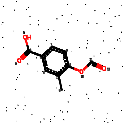 Cc1cc(C(=O)O)ccc1OC=O